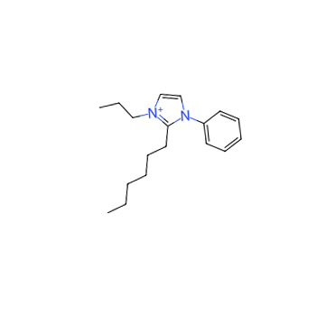 CCCCCCc1n(-c2ccccc2)cc[n+]1CCC